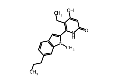 CCCc1ccc2cc(-c3[nH]c(=O)cc(O)c3CC)n(C)c2c1